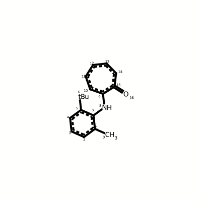 Cc1cccc(C(C)(C)C)c1Nc1cccccc1=O